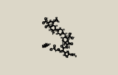 Nc1nc(/C(=N/OCC(=O)[O-])C(=O)N[C@@H]2C(=O)N3C(C(=O)[O-])=C(CN4CCN(c5cc6c(cc5F)c(=O)c(C(=O)[O-])cn6C5CC5)CC4)CS[C@H]23)cs1.[Na+].[Na+].[Na+]